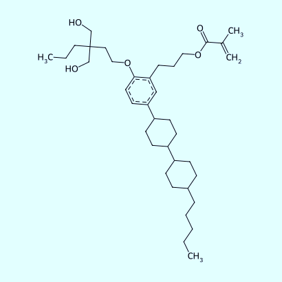 C=C(C)C(=O)OCCCc1cc(C2CCC(C3CCC(CCCCC)CC3)CC2)ccc1OCCC(CO)(CO)CCC